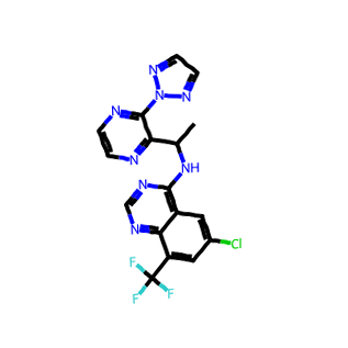 CC(Nc1ncnc2c(C(F)(F)F)cc(Cl)cc12)c1nccnc1-n1nccn1